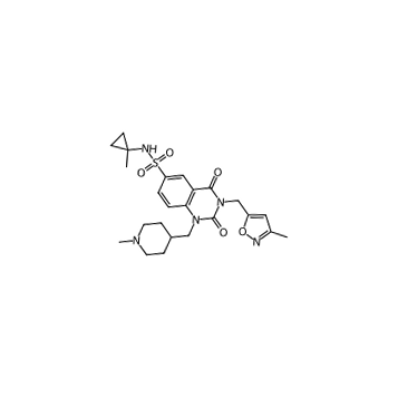 Cc1cc(Cn2c(=O)c3cc(S(=O)(=O)NC4(C)CC4)ccc3n(CC3CCN(C)CC3)c2=O)on1